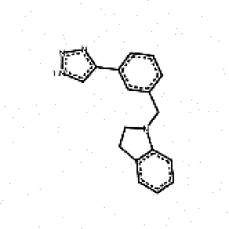 c1cc(CN2CCc3ccccc32)cc(-c2c[nH]nn2)c1